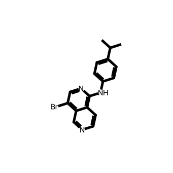 CC(C)c1ccc(Nc2ncc(Br)c3cnccc23)cc1